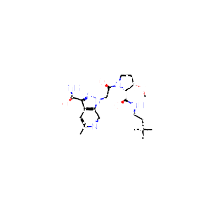 CO[C@@H]1CCN(C(=O)Cn2nc(C(N)=O)c3cc(C)ncc32)[C@@H]1C(=O)NCCC(C)(C)C